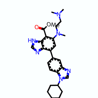 COC(=O)c1c(N(C)CCN(C)C)cc(-c2ccc3c(c2)ncn3C2CCCCC2)c2nc[nH]c12